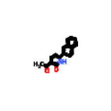 CC(=O)c1ccc(-c2ccc3ccccc3c2)[nH]c1=O